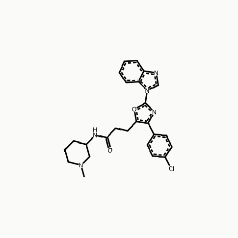 CN1CCCC(NC(=O)CCc2oc(-n3cnc4ccccc43)nc2-c2ccc(Cl)cc2)C1